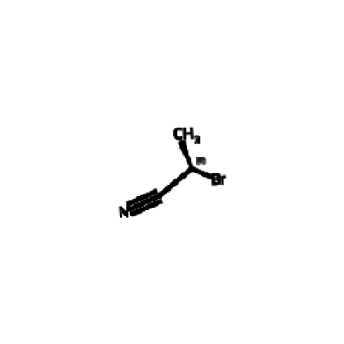 C[C@@H](Br)C#N